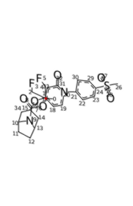 CC(CF)(CF)OC(=O)N1C2CCC1CC(Oc1ccn(-c3ccc(S(C)(=O)=O)cc3)c(=O)c1)C2